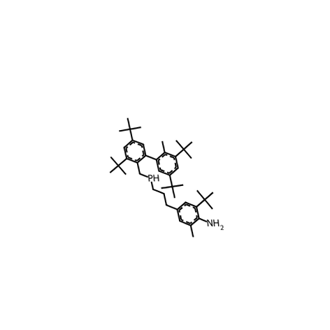 Cc1cc(CCCPCc2c(-c3cc(C(C)(C)C)cc(C(C)(C)C)c3C)cc(C(C)(C)C)cc2C(C)(C)C)cc(C(C)(C)C)c1N